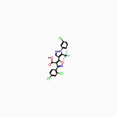 COC(=O)c1c(-c2ccc(Cl)cc2Cl)noc1-c1cnn(-c2cccc(Cl)c2)c1C(F)(F)F